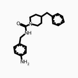 Nc1ccc(CNC(=O)N2CCC(Cc3ccccc3)CC2)cc1